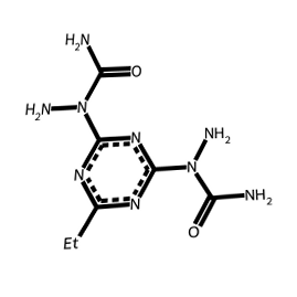 CCc1nc(N(N)C(N)=O)nc(N(N)C(N)=O)n1